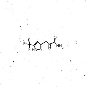 NC(=O)NCc1cc(C(F)(F)F)[nH]n1